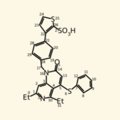 CCc1cc2c(c(Sc3ccccc3)cc(=O)n2Cc2ccc(-c3ccsc3S(=O)(=O)O)cc2)c(CC)n1